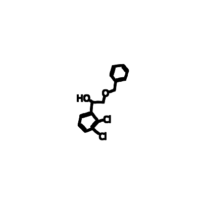 OC(COCc1ccccc1)c1cccc(Cl)c1Cl